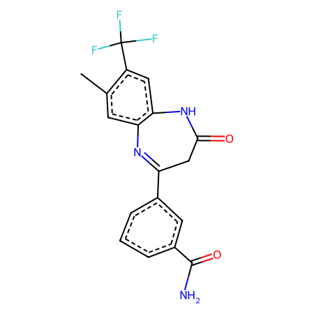 Cc1cc2c(cc1C(F)(F)F)NC(=O)CC(c1cccc(C(N)=O)c1)=N2